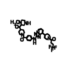 CN1CCNCC1C(=O)C1CCN(C(=O)c2ccc(Nc3nc4c(C5=CCN(C(=O)CCC(F)(F)F)CC5)cccn4n3)cc2)CC1